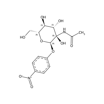 CC(=O)N[C@]1(O)[C@@H](Oc2ccc([N+](=O)[O-])cc2)O[C@H](CO)[C@@H](O)[C@@H]1O